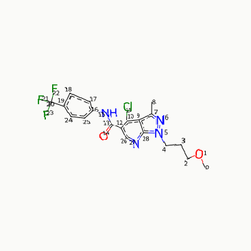 COCCCn1nc(C)c2c(Cl)c(C(=O)Nc3ccc(C(F)(F)F)cc3)cnc21